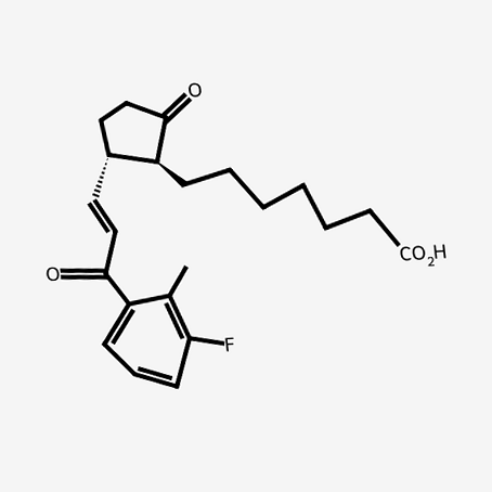 Cc1c(F)cccc1C(=O)C=C[C@@H]1CCC(=O)[C@H]1CCCCCCC(=O)O